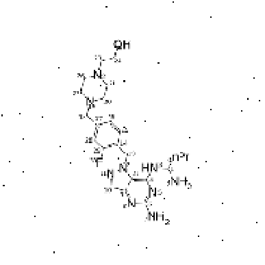 CCCC(N)Nc1nc(N)nc2cnn(Cc3ccc(CN4CCN(CCO)CC4)cc3F)c12